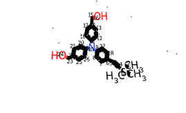 C[Si](C)(C)C#Cc1ccc(N(c2ccc(CO)cc2)c2ccc(CO)cc2)cc1